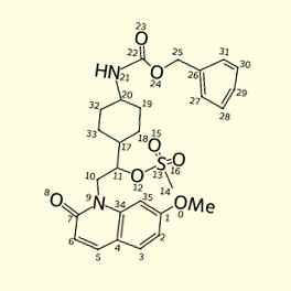 COc1ccc2ccc(=O)n(CC(OS(C)(=O)=O)C3CCC(NC(=O)OCc4ccccc4)CC3)c2c1